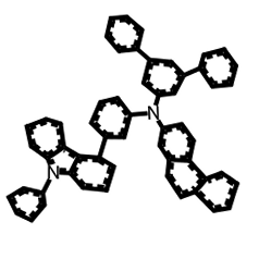 c1ccc(-c2cc(-c3ccccc3)cc(N(c3cccc(-c4cccc5c4c4ccccc4n5-c4ccccc4)c3)c3ccc4c(ccc5ccccc54)c3)c2)cc1